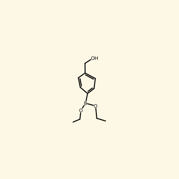 CCOB(OCC)c1ccc(CO)cc1